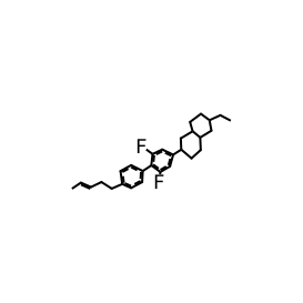 C/C=C/CCc1ccc(-c2c(F)cc(C3CCC4CC(CC)CCC4C3)cc2F)cc1